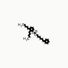 CCCCCc1cccc(OC(=O)OCCCCCCc2ccccc2)c1CCCCC